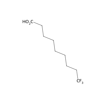 O=C(O)CCCCCCCC(F)(F)F